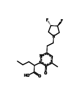 CCCC(C(=O)O)n1nc(CCN2C[C@H](F)[C@@H](F)C2)cc(C)c1=O